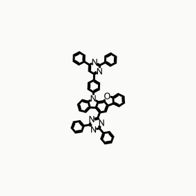 c1ccc(-c2cc(-c3ccc(-n4c5ccccc5c5c(-c6nc(-c7ccccc7)nc(-c7ccccc7)n6)cc6c7ccccc7oc6c54)cc3)nc(-c3ccccc3)n2)cc1